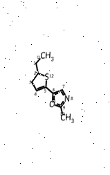 CCC1CC=C(c2cnc(C)o2)S1